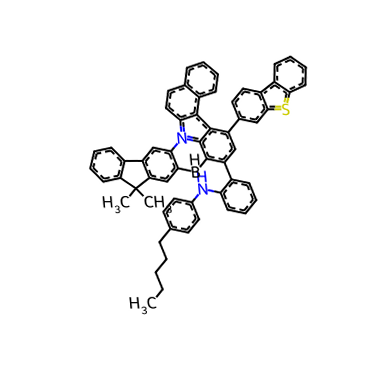 CCCCCc1ccc(Nc2ccccc2-c2cc(-c3ccc4c(c3)sc3ccccc34)c3c4c5ccccc5ccc4n4c3c2Bc2cc3c(cc2-4)-c2ccccc2C3(C)C)cc1